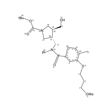 COCCCOc1cc(C(=O)N(C[C@@H]2CN(C(=O)OC(C)(C)C)C[C@H]2CO)C(C)C)ccc1C